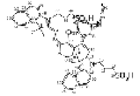 CC1(C)C(=CC=C2CCCC(C=CC3N(CCCS(=O)(=O)O)c4ccc5ccccc5c4C3(C)C)=C2Oc2ccc(N=C=S)cc2)N(CCCS(=O)(=O)O)c2ccc3ccccc3c21